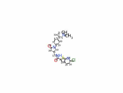 CN(C)CC1(c2ccc(N3CC(CNC(=O)c4cc5ccc(Cl)nc5s4)CC3=O)cc2)CC1